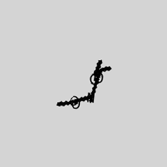 CCCCCCCCOC(=O)CCCCCCCN(CC)CCCCCCCC(=O)Oc1ccc(CCCCC)c(CCCCC)c1